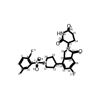 Cc1ccc(F)c(S(=O)(=O)N2CCC(c3cc(F)cc4c3CN(C3CCC(=O)NC3=O)C4=O)CC2)c1